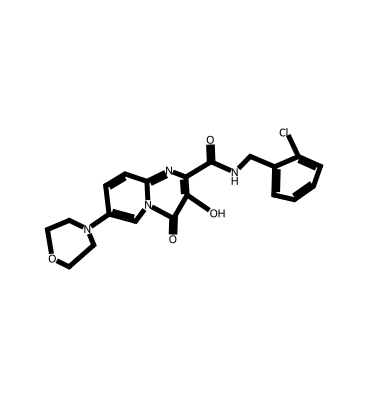 O=C(NCc1ccccc1Cl)c1nc2ccc(N3CCOCC3)cn2c(=O)c1O